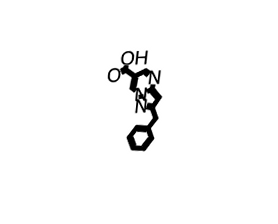 O=C(O)c1cnc2cc(Cc3ccccc3)nn2c1